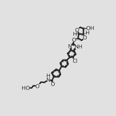 O=C(NCCOCCO)c1ccc(-c2ccc(-c3cc4nc(O[C@@H]5CO[C@H]6[C@@H]5OC[C@H]6O)[nH]c4cc3Cl)cc2)cc1